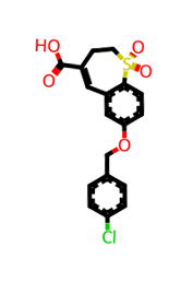 O=C(O)C1=Cc2cc(OCc3ccc(Cl)cc3)ccc2S(=O)(=O)CC1